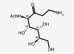 CC(=O)N[C@@H](C(=O)CCN)[C@@H](O)[C@H](O)[C@H](O)CO